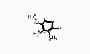 COc1ccc(F)c(C)c1P